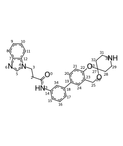 O=C(CCn1cnc2ccccc21)Nc1cccc(-c2ccc3c(c2)COC2(CCNCC2)O3)c1